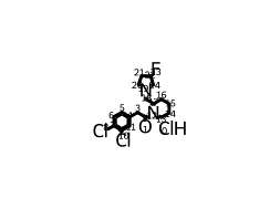 Cl.O=C(Cc1ccc(Cl)c(Cl)c1)N1CCCCC1CN1CCC(F)C1